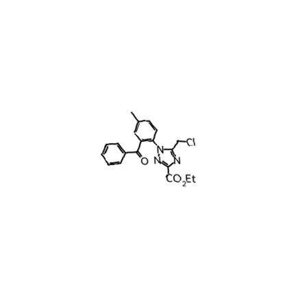 CCOC(=O)c1nc(CCl)n(-c2ccc(C)cc2C(=O)c2ccccc2)n1